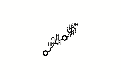 O=c1[nH]c(-c2ccc(O[C@@H]3CO[C@H]4[C@@H]3OC[C@H]4O)cc2)ncc1NCCCc1ccccc1